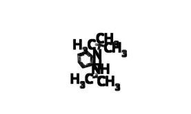 CC(C)Nc1ccccc1NC(C)(C)C